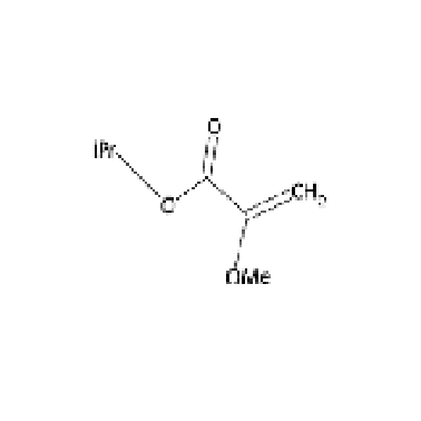 C=C(OC)C(=O)OC(C)C